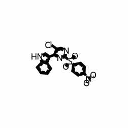 O=[N+]([O-])c1ccc(S(=O)(=O)c2ncc(Cl)c(-c3c[nH]c4ccccc34)n2)cc1